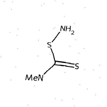 CNC(=S)SN